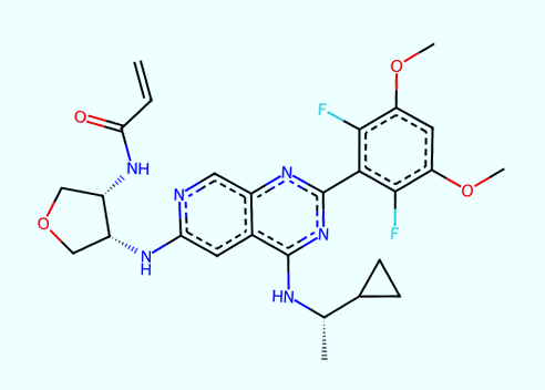 C=CC(=O)N[C@H]1COC[C@H]1Nc1cc2c(N[C@@H](C)C3CC3)nc(-c3c(F)c(OC)cc(OC)c3F)nc2cn1